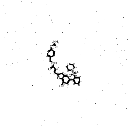 NC(=O)Oc1ccc(CNC(=O)C=CC2Cc3cc(-c4ccccc4S(=O)(=O)N4CCOCC4)cc(Cl)c3O2)cn1